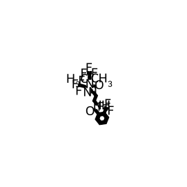 CC(C)(n1c(C(F)(F)F)nn(CCNC(=O)c2ccccc2C(F)(F)F)c1=O)C(F)(F)F